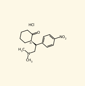 CN(C)CC(c1ccc([N+](=O)[O-])cc1)[C@H]1CCCCC1=O.Cl